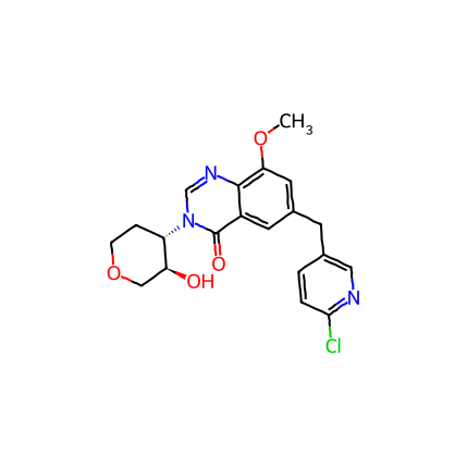 COc1cc(Cc2ccc(Cl)nc2)cc2c(=O)n([C@H]3CCOC[C@@H]3O)cnc12